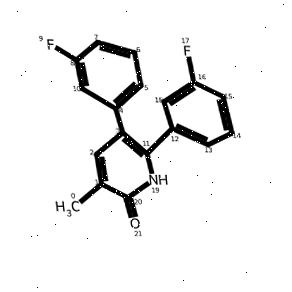 Cc1cc(-c2cccc(F)c2)c(-c2cccc(F)c2)[nH]c1=O